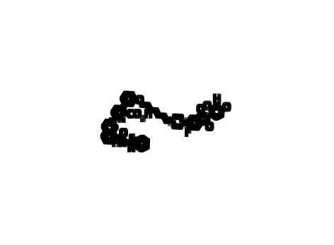 O=C1CC[C@H](N2C(=O)c3cc(F)c(N4CCN(CCCCCCCOc5cccc(-c6ccc(N7CCc8cccc(C(=O)Nc9nc%10ccccc%10s9)c8C7)nc6C(=O)O)c5)CC4)cc3C2=O)C(=O)N1